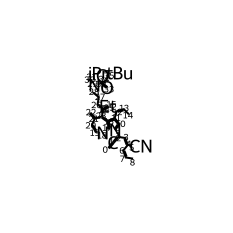 C=C=C(/C=C(C#N)\C=C/C)n1cc(/C(=C\C)CC)c2c1=NC=CC(=C)C=2C(=C)CCCN(CC(C)C)C(=O)OC(C)(C)C